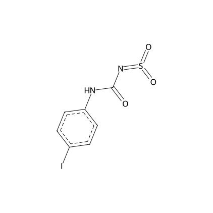 O=C(N=S(=O)=O)Nc1ccc(I)cc1